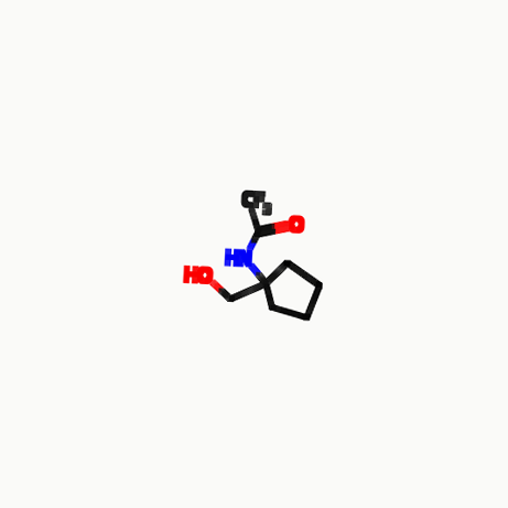 O=C(NC1(CO)CCCC1)C(F)(F)F